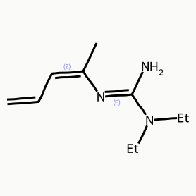 C=C/C=C(C)\N=C(/N)N(CC)CC